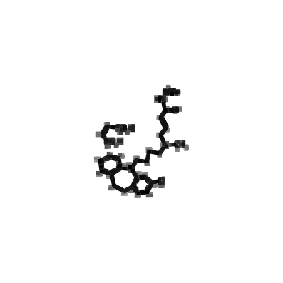 CONC(=O)/C=C/CN(C)CCCCN1c2ccccc2CCc2ccc(Cl)cc21.O=C(O)/C=C\C(=O)O